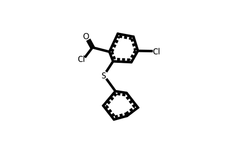 O=C(Cl)c1ccc(Cl)cc1Sc1ccccc1